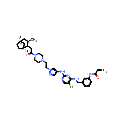 C=CC(=O)Nc1cccc(CNc2nc(Nc3cnn(CCN4CCN(C(=O)CC5[C@H]6CC[C@H](C6)C[C@H]5C)CC4)c3)ncc2Cl)c1